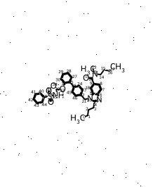 CCCCc1nc2ccc(C(=O)N(C)CCCC)cc2n1Cc1ccc(-c2ccccc2OC(=O)NS(=O)(=O)c2ccccc2)cc1